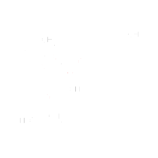 C=C(C)C(=O)OCCCC(COc1ccc(CCC)cc1)(OCC)OC(=O)C(=C)C